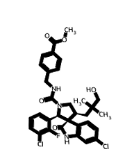 COC(=O)c1ccc(CNC(=O)N2C[C@@H](CC(C)(C)CO)[C@@]3(C(=O)Nc4cc(Cl)ccc43)[C@H]2c2cccc(Cl)c2F)cc1